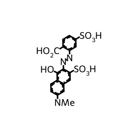 CNc1ccc2c(O)c(N=Nc3cc(S(=O)(=O)O)ccc3C(=O)O)c(S(=O)(=O)O)cc2c1